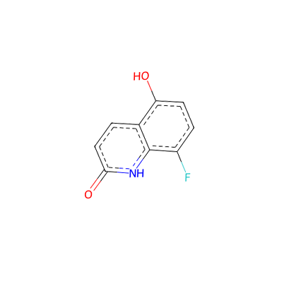 O=c1ccc2c(O)ccc(F)c2[nH]1